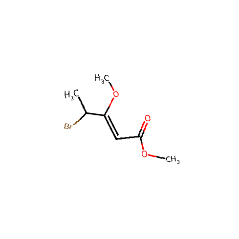 COC(=O)/C=C(\OC)C(C)Br